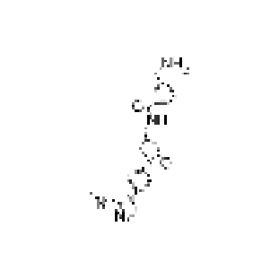 CN(C)Cc1nccn1-c1ccc(N2CC(CNC(=O)c3cccc(CN)c3)CC2=O)cc1